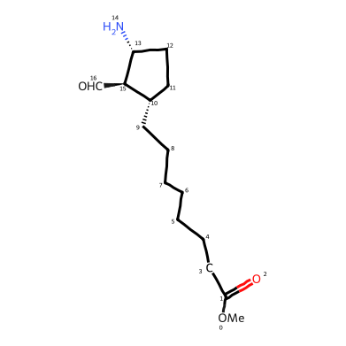 COC(=O)CCCCCCC[C@H]1CC[C@@H](N)[C@@H]1C=O